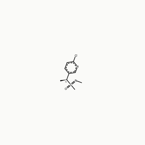 CN=S(C)(=O)[C@@H](C)c1ccc(Cl)nc1